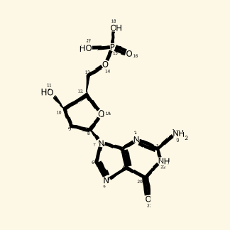 Nc1nc2c(ncn2[C@H]2C[C@@H](O)[C@@H](COP(=O)(O)O)O2)c(=O)[nH]1